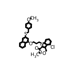 COC(=O)c1c(C=O)c2c(Cl)cccc2n1CCCOc1cc(SCc2ccc(OC)cc2)cc2ccccc12